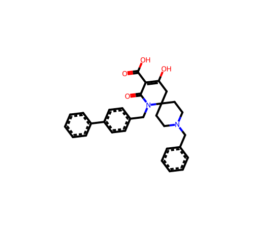 O=C(O)C1=C(O)CC2(CCN(Cc3ccccc3)CC2)N(Cc2ccc(-c3ccccc3)cc2)C1=O